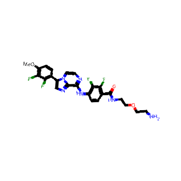 COc1ccc(-c2cnc3c(Nc4ccc(C(=O)NCCOCCN)c(F)c4F)nccn23)c(F)c1F